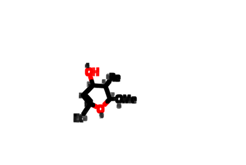 CCC1=CC(O)[CH]([Re])C(OC)O1